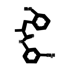 COc1ccccc1C=C(C)C(=O)Nc1cccc(C(=O)O)c1